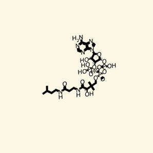 CC(C)CCNC(=O)CCNC(=O)[C@H](O)C(C)(C)COP(=O)(O)OP(=O)(O)O[C@H]1OC(n2cnc3c(N)ncnc32)[C@H](O)[C@@H]1OP(=O)(O)O